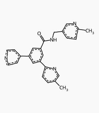 Cc1ccc(-c2cc(C(=O)NCc3ccc(C)nc3)cc(-c3ccncc3)c2)nc1